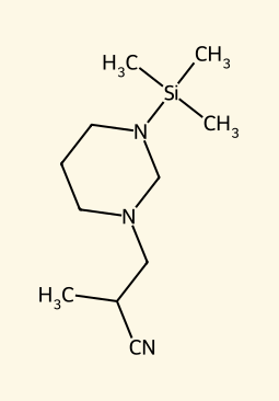 CC(C#N)CN1CCCN([Si](C)(C)C)C1